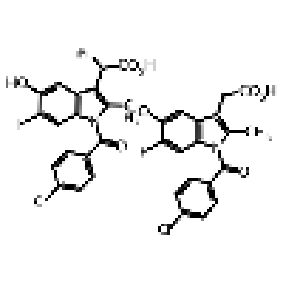 Cc1c(C(C(=O)O)C(C)C)c2cc(O)c(F)cc2n1C(=O)c1ccc(Cl)cc1.Cc1c(CC(=O)O)c2cc(O)c(F)cc2n1C(=O)c1ccc(Cl)cc1